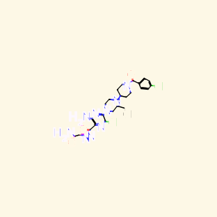 CCC1CN(c2nc(N)c(-c3nnc(C(N)=O)o3)nc2Cl)CCN1C1CCN(C(=O)c2ccc(Cl)cc2)CC1